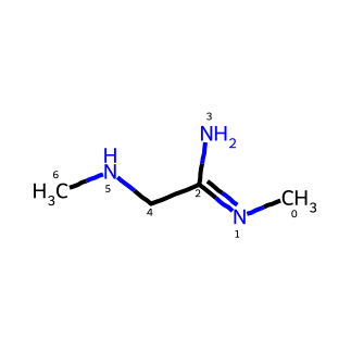 C/N=C(\N)CNC